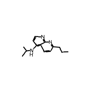 CCCc1ccc2c(NC(C)C)ccnc2n1